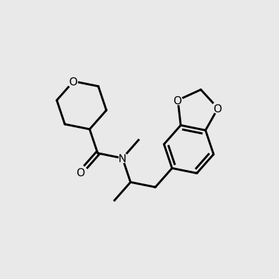 CC(Cc1ccc2c(c1)OCO2)N(C)C(=O)C1CCOCC1